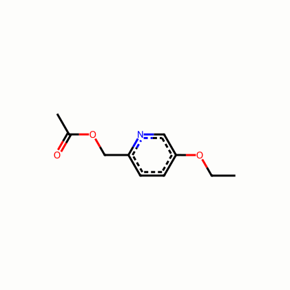 CCOc1ccc(COC(C)=O)nc1